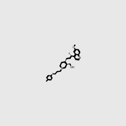 COc1ccc2nccc([C@@H](F)CC[C@@H]3CCN(CCCSc4ccc(C)cc4)C[C@@H]3CO)c2c1